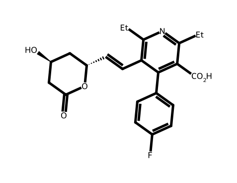 CCc1nc(CC)c(C(=O)O)c(-c2ccc(F)cc2)c1/C=C/[C@H]1C[C@H](O)CC(=O)O1